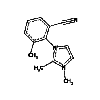 Cc1cccc(C#N)c1-[n+]1ccn(C)c1C